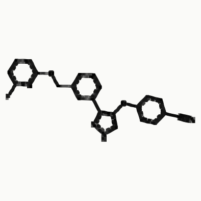 N#Cc1ccc(Oc2c[nH]nc2-c2cccc(COc3cccc(F)n3)c2)cc1